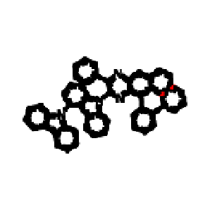 c1ccc(-c2ccccc2-c2c3ccccc3cc3nc(-c4ccccc4)c(-n4c5ccccc5c5c(-n6c7ccccc7c7ccccc76)cccc54)nc23)cc1